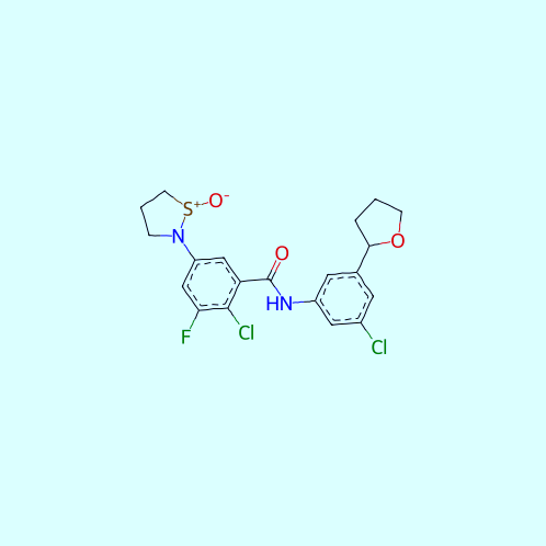 O=C(Nc1cc(Cl)cc(C2CCCO2)c1)c1cc(N2CCC[S+]2[O-])cc(F)c1Cl